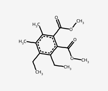 CCc1c(C)c(C)c(C(=O)OC)c(C(=O)OC)c1CC